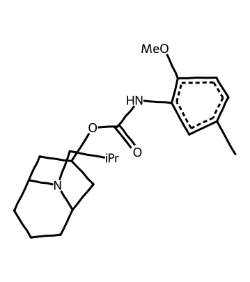 COc1ccc(C)cc1NC(=O)OC1CC2CCCC(C1)N2CC(C)C